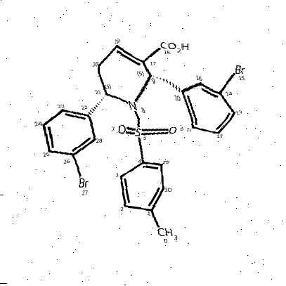 Cc1ccc(S(=O)(=O)N2[C@@H](c3cccc(Br)c3)C(C(=O)O)=CC[C@H]2c2cccc(Br)c2)cc1